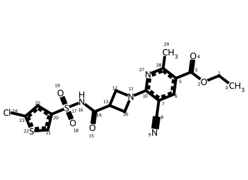 CCOC(=O)c1cc(C#N)c(N2CC(C(=O)NS(=O)(=O)c3csc(Cl)c3)C2)nc1C